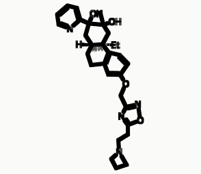 CC[C@@]12CC(C)(O)C(O)(c3ccccn3)C[C@H]1CCc1cc(OCc3noc(CCN4CCC4)n3)ccc12